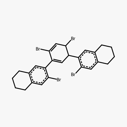 BrC1=CC(Br)C(c2cc3c(cc2Br)CCCC3)C=C1c1cc2c(cc1Br)CCCC2